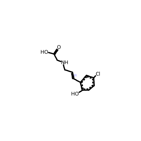 O=C(O)CNC/C=C/c1cc(Cl)ccc1O